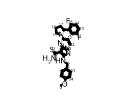 COc1ccc(CNc2nn3ccc(N4CCCC4c4cc(F)ccc4F)nc3c2C(N)=S)cc1